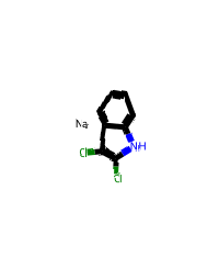 Clc1[nH]c2ccccc2c1Cl.[Na]